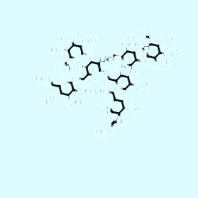 CCC1O[C@H](OCC2O[C@H](OCC3O[C@@H](O[C@@H]4C(CO)O[C@@H]5OC(C)=NC5[C@H]4O)C(O)[C@@H](O[C@H]4O[C@@H](CO)[C@@H](O)C(O)C4O[C@H]4O[C@@H](CC)[C@@H](O)C(O)C4O)[C@@H]3O)C(O)[C@@H](O[C@H]3O[C@@H](CO)[C@@H](O)C(O)C3O)[C@@H]2O)C(O)[C@@H](O)[C@@H]1O